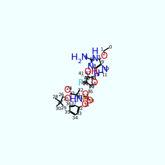 CCOC1NC(N)=Nc2c1ncn2[C@@H]1O[C@H](COP(=O)(NC(C)C(=O)OCC(C)(C)C)Oc2ccccc2)[C@@H](F)[C@@]1(C)O